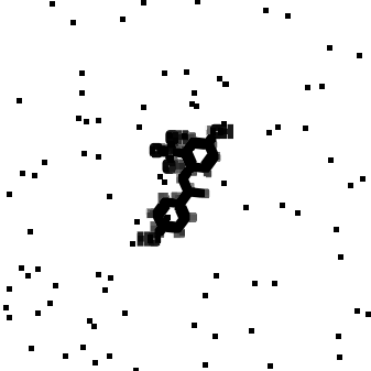 CC(Cc1ccc(O)cc1P(=O)(O)O)c1ccc(O)cc1